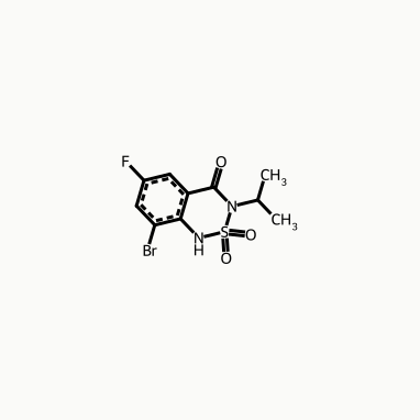 CC(C)N1C(=O)c2cc(F)cc(Br)c2NS1(=O)=O